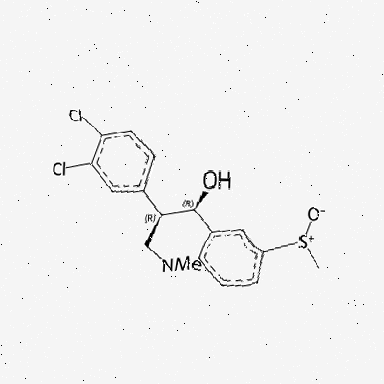 CNC[C@@H](c1ccc(Cl)c(Cl)c1)[C@@H](O)c1cccc([S+](C)[O-])c1